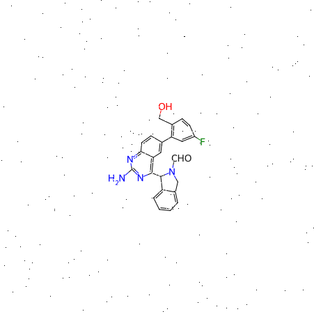 Nc1nc(C2c3ccccc3CN2C=O)c2cc(-c3cc(F)ccc3CO)ccc2n1